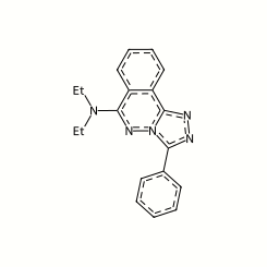 CCN(CC)c1nn2c(-c3ccccc3)nnc2c2ccccc12